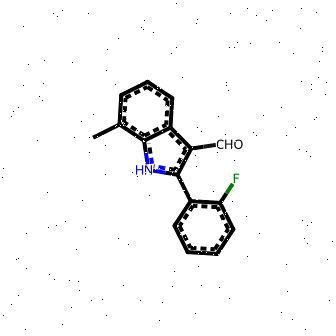 Cc1cccc2c(C=O)c(-c3ccccc3F)[nH]c12